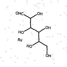 O=CC(O)C(O)C(O)C(O)CO.[Ru]